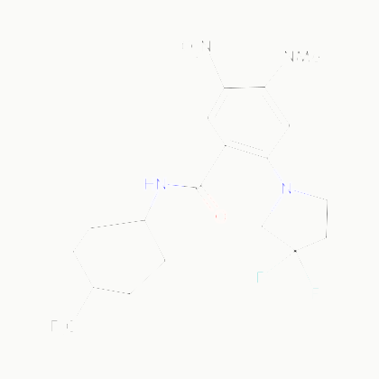 CNc1cc(N2CCC(F)(F)C2)c(C(=O)NC2CCC(C(F)(F)F)CC2)cc1[N+](=O)[O-]